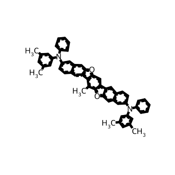 Cc1cc(C)cc(N(c2ccccc2)c2ccc3cc4c(cc3c2)oc2c(C)c3c(cc24)oc2cc4cc(N(c5ccccc5)c5cc(C)cc(C)c5)ccc4cc23)c1